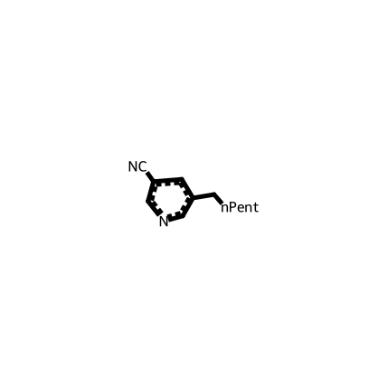 CCCCCCc1cncc(C#N)c1